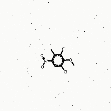 COc1c(Cl)cc([N+](=O)[O-])c(C)c1Cl